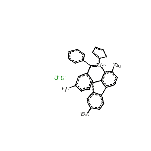 CC(C)(C)c1ccc2c(c1)Cc1c-2ccc(C(C)(C)C)[c]1/[Zr+2]([C]1=CC=CC1)=[C](/c1ccccc1)c1cccc(C(F)(F)F)c1.[Cl-].[Cl-]